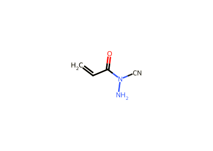 C=CC(=O)N(N)C#N